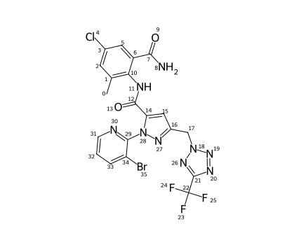 Cc1cc(Cl)cc(C(N)=O)c1NC(=O)c1cc(Cn2nnc(C(F)(F)F)n2)nn1-c1ncccc1Br